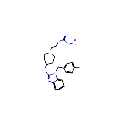 N=C(NCCN1CCC(Nc2nc3ccccc3n2Cc2ccc(F)cc2)CC1)N[N+](=O)[O-]